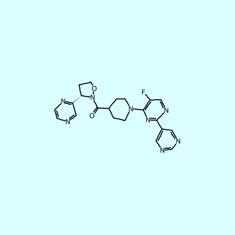 O=C(C1CCN(c2nc(-c3cncnc3)ncc2F)CC1)N1OCC[C@H]1c1cnccn1